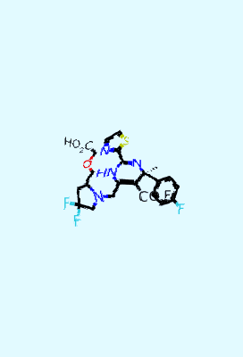 CCOC(=O)C1=C(CN2CC(F)(F)CC2COCC(=O)O)NC(c2nccs2)=N[C@@]1(C)c1ccc(F)cc1